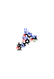 COc1c(Nc2cc(NC(=O)C3(F)CC3)nnc2C(N)=O)cccc1-c1cnn([C@@H]2CC[C@@]23CCCO3)c1